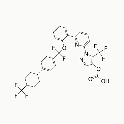 O=C(O)Oc1cnn(-c2cccc(-c3ccccc3OC(F)(F)c3ccc([C@H]4CC[C@H](C(F)(F)F)CC4)cc3)n2)c1C(F)(F)F